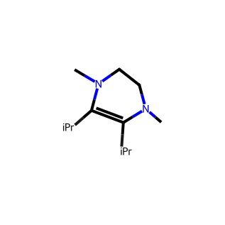 CC(C)C1=C(C(C)C)N(C)CCN1C